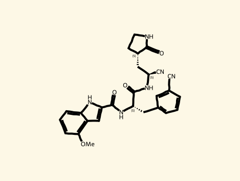 COc1cccc2[nH]c(C(=O)N[C@@H](Cc3cccc(C#N)c3)C(=O)N[C@H](C#N)C[C@@H]3CCNC3=O)cc12